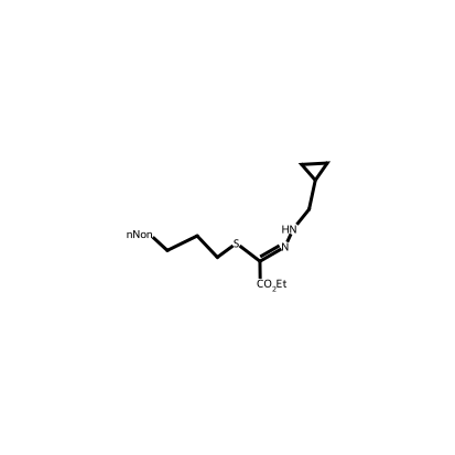 CCCCCCCCCCCCSC(=NNCC1CC1)C(=O)OCC